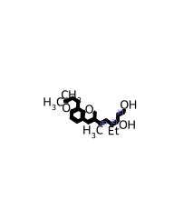 CCC(/C=C(\C)C1=Cc2ccc3c(c2OC1)CCC(C)(C)O3)=C(O)/C=C/O